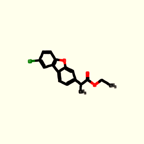 CCOC(=O)C(C)c1ccc2c(c1)oc1ccc(Cl)cc12